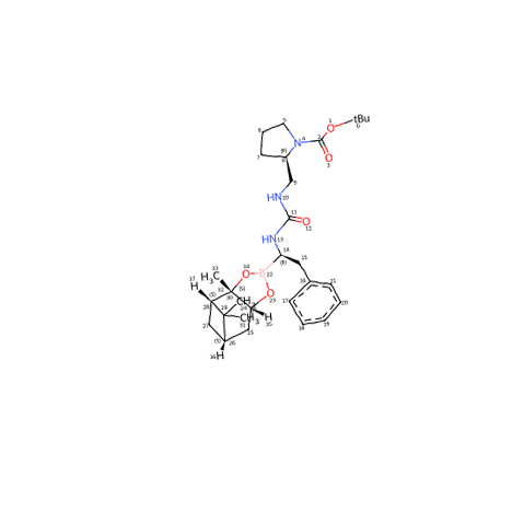 CC(C)(C)OC(=O)N1CCC[C@@H]1CNC(=O)N[C@@H](Cc1ccccc1)B1O[C@@H]2C[C@@H]3C[C@@H](C3(C)C)[C@]2(C)O1